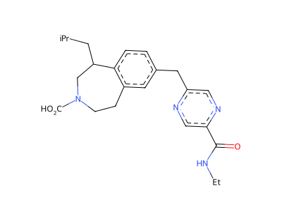 CCNC(=O)c1cnc(Cc2ccc3c(c2)CCN(C(=O)O)CC3CC(C)C)cn1